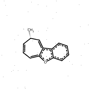 C[C@H]1C=CC=c2oc3ccccc3c2=C1